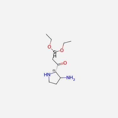 CCO[SiH](CC(=O)[C@H]1NCCC1N)OCC